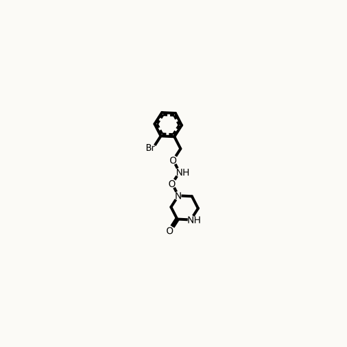 O=C1CN(ONOCc2ccccc2Br)CCN1